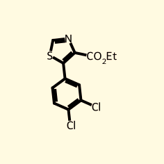 CCOC(=O)c1ncsc1-c1ccc(Cl)c(Cl)c1